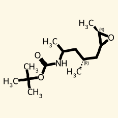 CC(C[C@@H](C)CC1O[C@@H]1C)NC(=O)OC(C)(C)C